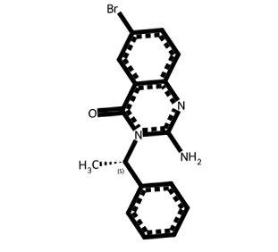 C[C@@H](c1ccccc1)n1c(N)nc2ccc(Br)cc2c1=O